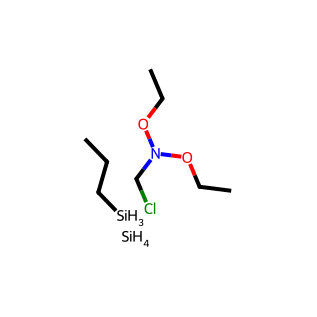 CCC[SiH3].CCON(CCl)OCC.[SiH4]